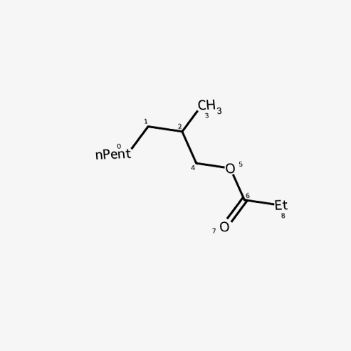 CCCCCCC(C)COC(=O)CC